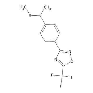 CSC(C)c1ccc(-c2noc(C(F)(F)F)n2)cc1